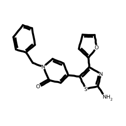 Nc1nc(-c2ccco2)c(-c2ccn(Cc3ccccc3)c(=O)c2)s1